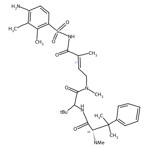 CN[C@H](C(=O)NC(C(=O)N(C)C/C=C(\C)C(=O)NS(=O)(=O)c1ccc(N)c(C)c1C)C(C)(C)C)C(C)(C)c1ccccc1